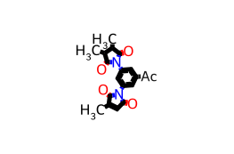 CC(=O)c1cc(N2C(=O)C=C(C)C2=O)cc(N2C(=O)C(C)C(C)C2=O)c1